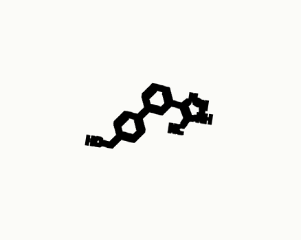 N#Cc1[nH]nnc1-c1cccc(-c2ccc(CO)cc2)c1